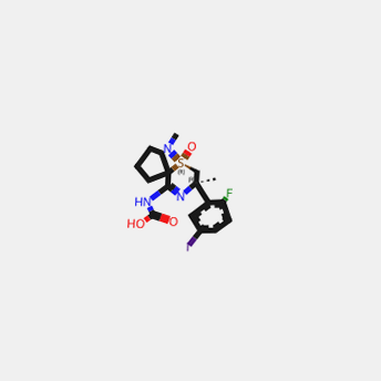 CN=[S@@]1(=O)C[C@@](C)(c2cc(I)ccc2F)N=C(NC(=O)O)C12CCCC2